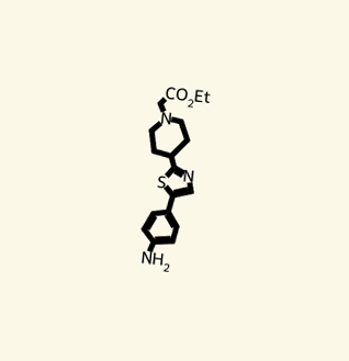 CCOC(=O)CN1CCC(c2ncc(-c3ccc(N)cc3)s2)CC1